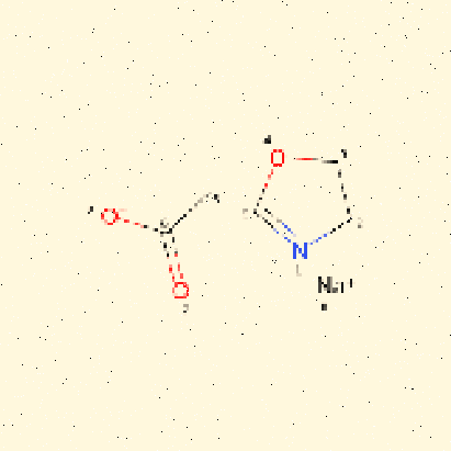 C1=NCCO1.CC(=O)[O-].[Na+]